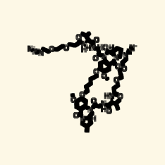 C=C1C[C@H]2CN(C(=O)CNC(=O)[C@@H](NC(=O)CCOCCOCCN=[N+]=[N-])C(C)C)c3cc(OCCCCCOc4cc5c(cc4OC)C(=O)N4CCC[C@H]4[C@H](O)N5C(=O)CNC(=O)[C@@H](NC(=O)CCOCCOCCN=[N+]=[N-])C(C)C)c(OC)cc3C(=O)N2C1